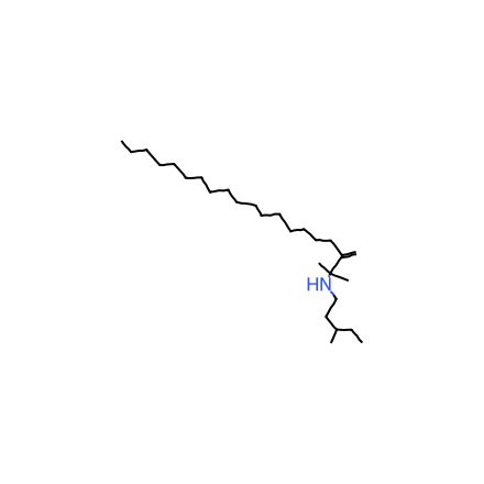 C=C(CCCCCCCCCCCCCCCCC)C(C)(C)NCCC(C)CC